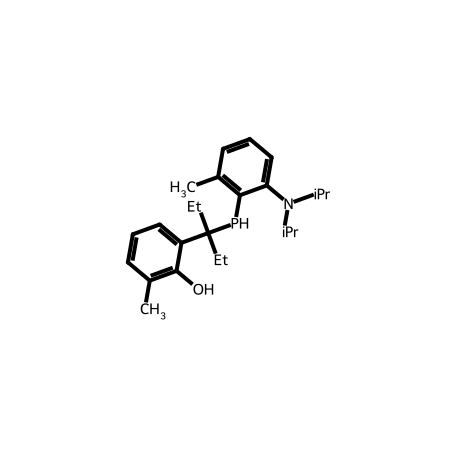 CCC(CC)(Pc1c(C)cccc1N(C(C)C)C(C)C)c1cccc(C)c1O